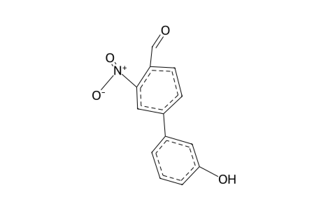 O=Cc1ccc(-c2cccc(O)c2)cc1[N+](=O)[O-]